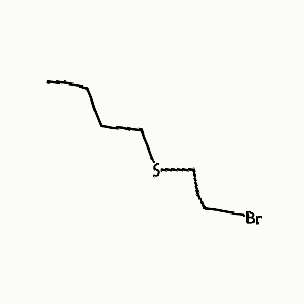 CCCCSCCBr